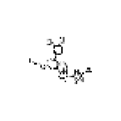 O=C(c1ccc(Cl)c(Cl)c1)N1CCn2c(-c3nc(C4CC4)ns3)nnc2C1CCOCCF